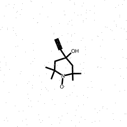 C#CC1(O)CC(C)(C)N([O])C(C)(C)C1